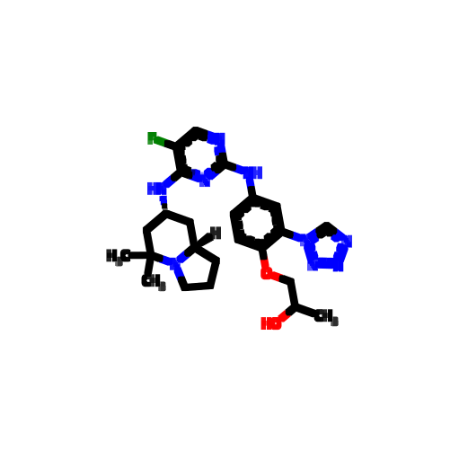 CC(O)COc1ccc(Nc2ncc(F)c(N[C@@H]3C[C@@H]4CCCN4C(C)(C)C3)n2)cc1-n1cnnn1